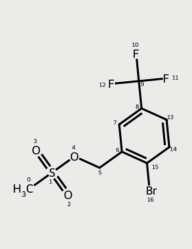 CS(=O)(=O)OCc1cc(C(F)(F)F)ccc1Br